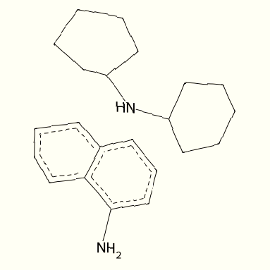 C1CCC(NC2CCCCC2)CC1.Nc1cccc2ccccc12